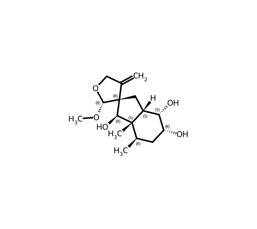 C=C1CO[C@@H](OC)[C@]12C[C@@H]1[C@H](O)[C@H](O)C[C@@H](C)[C@]1(C)[C@H]2O